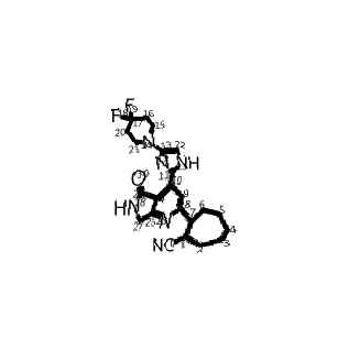 N#CC1CCCCCC1c1cc(-c2nc(N3CCC(F)(F)CC3)c[nH]2)c2c(n1)CNC2=O